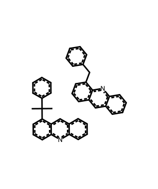 CC(C)(c1ccccc1)c1cccc2nc3ccccc3cc12.c1ccc(Cc2cccc3cc4ccccc4nc23)cc1